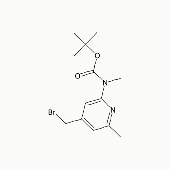 Cc1cc(CBr)cc(N(C)C(=O)OC(C)(C)C)n1